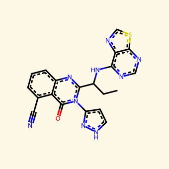 CCC(Nc1ncnc2scnc12)c1nc2cccc(C#N)c2c(=O)n1-c1cc[nH]n1